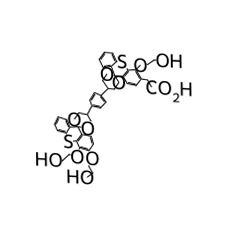 O=C(O)Cc1ccc2c(c1OCCO)Sc1ccccc1C21OCC(c2ccc(C3COC4(OC3)c3ccccc3Sc3c4ccc(OCCO)c3OCCO)cc2)CO1